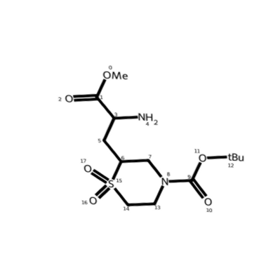 COC(=O)C(N)CC1CN(C(=O)OC(C)(C)C)CCS1(=O)=O